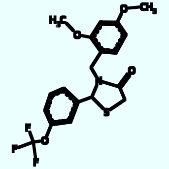 COc1ccc(CN2C(=O)CSC2c2cccc(OC(F)(F)F)c2)c(OC)c1